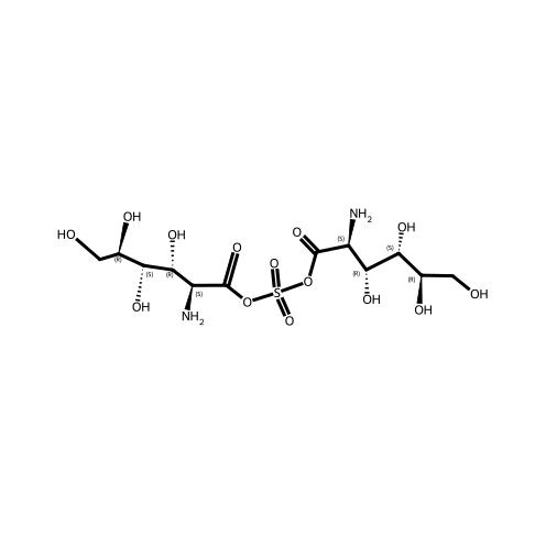 N[C@H](C(=O)OS(=O)(=O)OC(=O)[C@@H](N)[C@@H](O)[C@H](O)[C@H](O)CO)[C@@H](O)[C@H](O)[C@H](O)CO